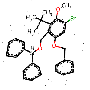 COc1c(Br)cc(OCc2ccccc2)c(CO[SiH](c2ccccc2)c2ccccc2)c1C(C)(C)C